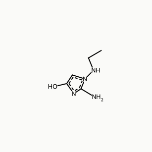 CCNn1cc(O)nc1N